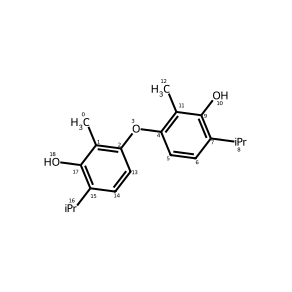 Cc1c(Oc2ccc(C(C)C)c(O)c2C)ccc(C(C)C)c1O